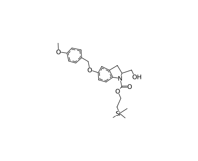 COc1ccc(COc2ccc3c(c2)CC(CO)N3C(=O)OCC[Si](C)(C)C)cc1